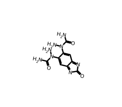 NC(=O)N(N)c1cc2c(cc1N(N)C(N)=O)=NC(=O)N=2